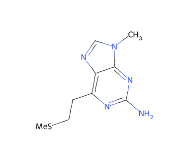 CSCCc1nc(N)nc2c1ncn2C